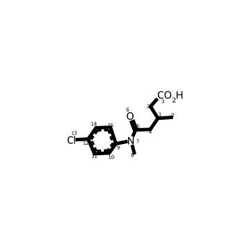 CC(CC(=O)O)CC(=O)N(C)c1ccc(Cl)cc1